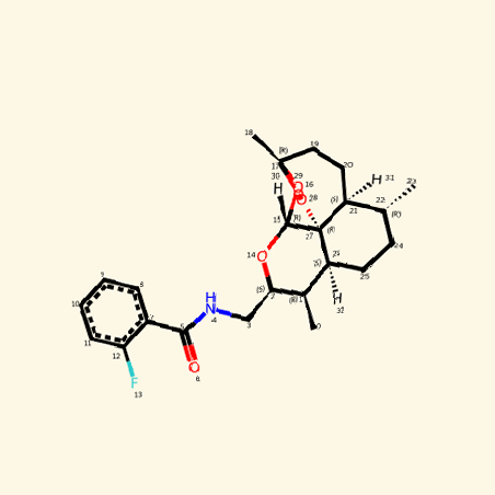 C[C@H]1[C@@H](CNC(=O)c2ccccc2F)O[C@@H]2O[C@@]3(C)CC[C@H]4[C@H](C)CC[C@@H]1[C@@]24OO3